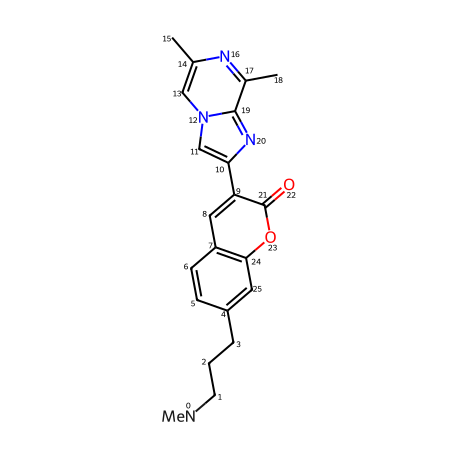 CNCCCc1ccc2cc(-c3cn4cc(C)nc(C)c4n3)c(=O)oc2c1